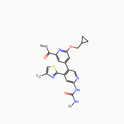 CCNC(=O)Nc1cc(-c2nc(C(F)(F)F)cs2)c(-c2cc(OCC3CC3)nc(C(=O)OC)c2)cn1